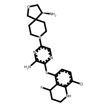 Nc1nc(N2CCC3(CC2)COC[C@H]3N)cnc1Sc1ccc(Cl)c2c1C(F)CCN2